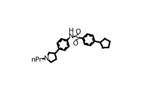 CCCN1CCC(c2ccc(NS(=O)(=O)c3ccc(C4CCCC4)cc3)cc2)C1